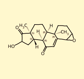 C[C@]12CCC3OC3C1=CC(=O)[C@@H]1[C@H]2CC[C@]2(C)C(=O)C(O)C[C@@H]12